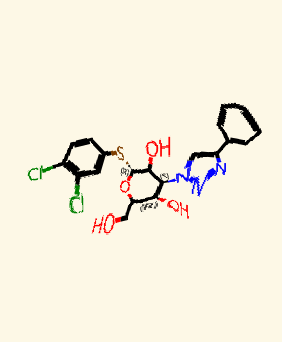 OCC1O[C@H](Sc2ccc(Cl)c(Cl)c2)C(O)[C@@H](n2cc(-c3ccccc3)nn2)[C@H]1O